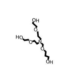 OCCCOCN(CCCOCCO)CCOCCO